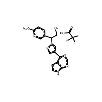 COc1ccc(C(CC#N)n2cc(-c3ncnc4[nH]ccc34)cn2)cn1.O=C(O)C(F)(F)F